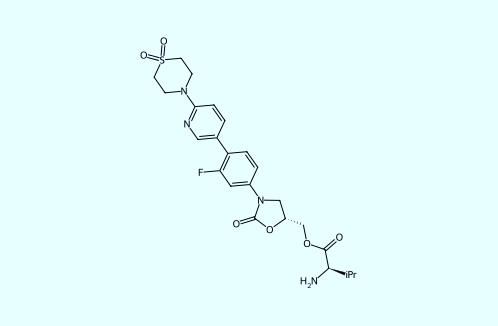 CC(C)[C@@H](N)C(=O)OC[C@H]1CN(c2ccc(-c3ccc(N4CCS(=O)(=O)CC4)nc3)c(F)c2)C(=O)O1